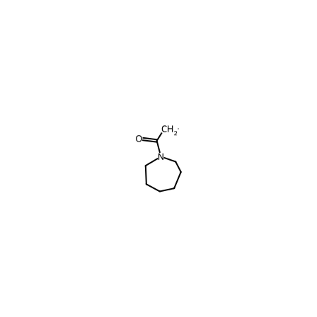 [CH2]C(=O)N1CCCCCC1